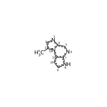 Cc1cnc2cnc3[nH]ccc3n12